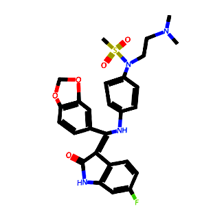 CN(C)CCN(c1ccc(NC(=C2C(=O)Nc3cc(F)ccc32)c2ccc3c(c2)OCO3)cc1)S(C)(=O)=O